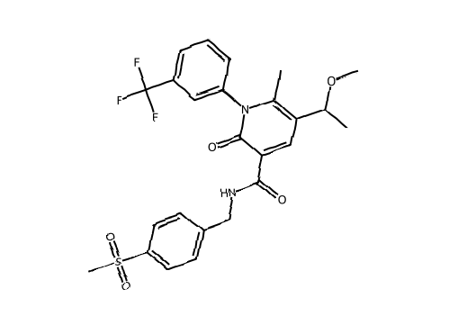 COC(C)c1cc(C(=O)NCc2ccc(S(C)(=O)=O)cc2)c(=O)n(-c2cccc(C(F)(F)F)c2)c1C